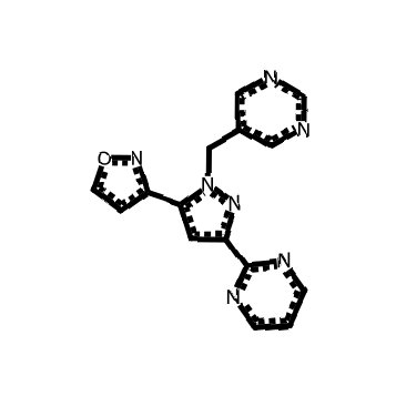 c1cnc(-c2cc(-c3ccon3)n(Cc3cncnc3)n2)nc1